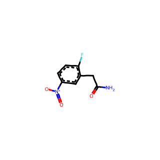 NC(=O)Cc1cc([N+](=O)[O-])ccc1F